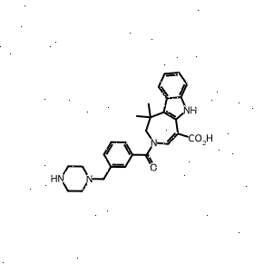 CC1(C)CN(C(=O)c2cccc(CN3CCNCC3)c2)C=C(C(=O)O)c2[nH]c3ccccc3c21